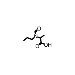 CCCN(C=O)C(C)C(=O)O